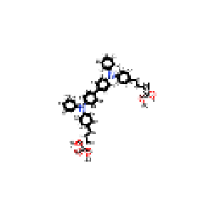 CO[SiH](CCCc1ccc(N(c2ccccc2)c2ccc(-c3ccc(N(c4ccccc4)c4ccc(CCC[Si](OC)(OC)OC)cc4)cc3)cc2)cc1)OC